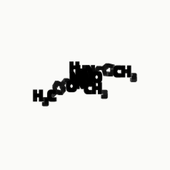 Cc1ccc(CC(=O)Nc2nc(C)nc(NC(=O)Cc3ccc(C)cc3)n2)cc1